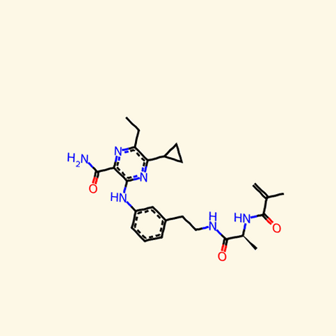 C=C(C)C(=O)N[C@@H](C)C(=O)NCCc1cccc(Nc2nc(C3CC3)c(CC)nc2C(N)=O)c1